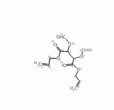 C=CCOC(=O)C(OC=O)C(OC=O)C(=O)OCC=C